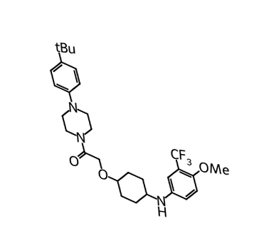 COc1ccc(NC2CCC(OCC(=O)N3CCN(c4ccc(C(C)(C)C)cc4)CC3)CC2)cc1C(F)(F)F